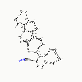 N#Cc1ccc2ccccc2c1-c1ccc2c(ccc3c4c(ccc32)CCCC4)c1